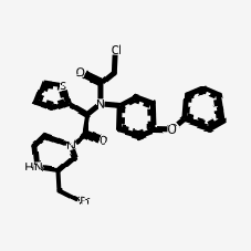 CC(C)CC1CN(C(=O)C(c2cccs2)N(C(=O)CCl)c2ccc(Oc3ccccc3)cc2)CCN1